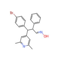 Cc1cc(C(c2ccc(Br)cc2)C(C=NO)c2ccccc2)cc(C)n1